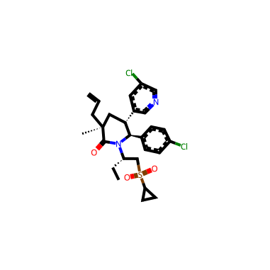 C=CC[C@@]1(C)C[C@H](c2cncc(Cl)c2)[C@@H](c2ccc(Cl)cc2)N([C@@H](CC)CS(=O)(=O)C2CC2)C1=O